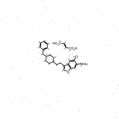 CC(=O)Nc1cc2onc(CCC3CCN(Cc4ccccc4)CC3)c2cc1Cl.O=C(O)C=CC(=O)O